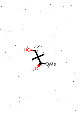 COC(=O)C(C)(C)[C@@H](C)O